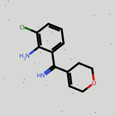 N=C(C1=CCOCC1)c1cccc(Cl)c1N